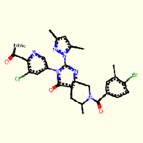 CNC(=O)c1ncc(-n2c(-n3nc(C)cc3C)nc3c(c2=O)CC(C)N(C(=O)c2ccc(Br)c(C)c2)C3)cc1Cl